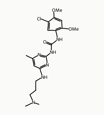 COc1cc(OC)c(NC(=O)Nc2nc(C)cc(NCCCN(C)C)n2)cc1Cl